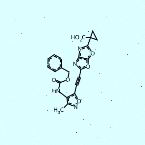 Cc1noc(C#Cc2nc3nc(C4(C(=O)O)CC4)oc3o2)c1NC(=O)OCc1ccccc1